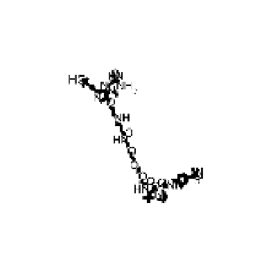 CCn1c(-c2nonc2N)nc2c(C#CC(C)(C)O)ncc(OCCCNCCCC(=O)NCCOCCOCCOCC(=O)NC(C(=O)N3CCC[C@H]3C(=O)NCc3ccc(-c4scnc4C)cc3)C(C)(C)C)c21